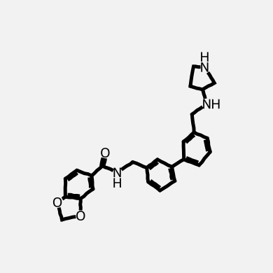 O=C(NCc1cccc(-c2cccc(CNC3CCNC3)c2)c1)c1ccc2c(c1)OCO2